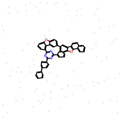 c1ccc(-c2ccc(-c3nc(-c4ccccc4)nc(-c4cccc5oc6ccc(-c7ccc8oc9c%10ccccc%10ccc9c8c7)cc6c45)n3)cc2)cc1